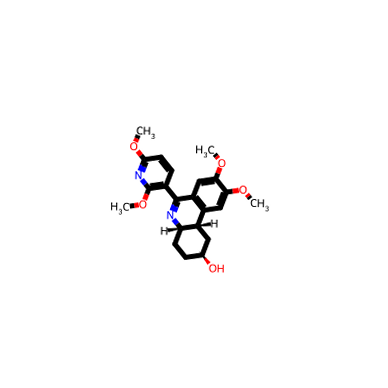 COc1ccc(C2=N[C@H]3CC[C@H](O)C[C@H]3c3cc(OC)c(OC)cc32)c(OC)n1